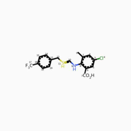 Cc1cc(Cl)cc(C(=O)O)c1NC=[SH]Cc1ccc(C(F)(F)F)cc1